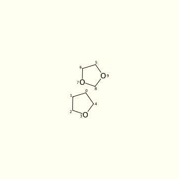 C1CCOC1.C1COCO1